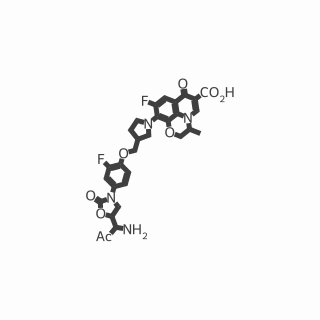 CC(=O)C(N)C1CN(c2ccc(OCC3CCN(c4c(F)cc5c(=O)c(C(=O)O)cn6c5c4OCC6C)C3)c(F)c2)C(=O)O1